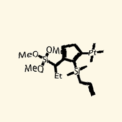 C=CC[Si](C)(C)C1=[C]([Pt]([CH3])([CH3])[CH3])CC=C1C(CC)[Si](OC)(OC)OC